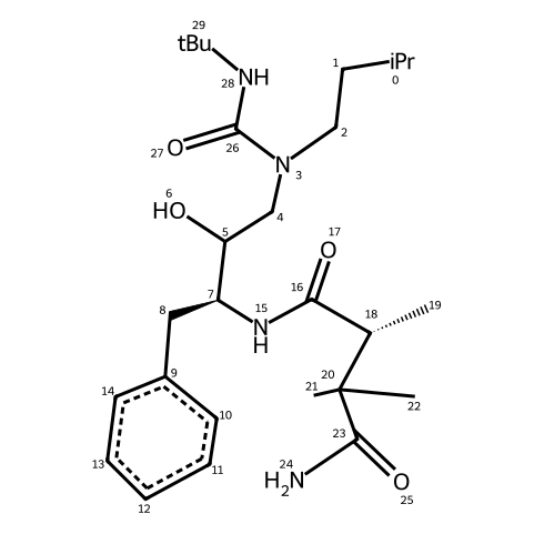 CC(C)CCN(CC(O)[C@H](Cc1ccccc1)NC(=O)[C@H](C)C(C)(C)C(N)=O)C(=O)NC(C)(C)C